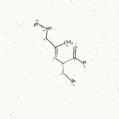 C/C(=C\[C@@H](CC(C)C)C(=O)C(C)C)CNC(C)C